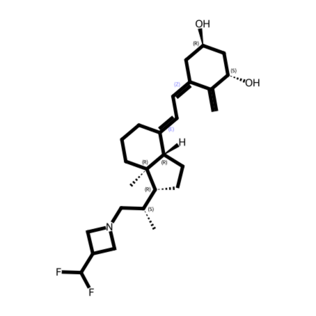 C=C1/C(=C\C=C2/CCC[C@]3(C)[C@@H]([C@H](C)CN4CC(C(F)F)C4)CC[C@@H]23)C[C@@H](O)C[C@@H]1O